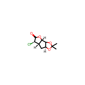 CC1(C)OC2[C@H](C[C@H]3[C@@H]2OC(=O)[C@@H]3Cl)O1